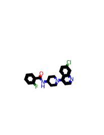 O=C(NC1CCN(c2ccnc3cc(Cl)ccc23)CC1)c1ccccc1F